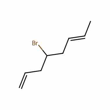 C=CCC(Br)CC=CC